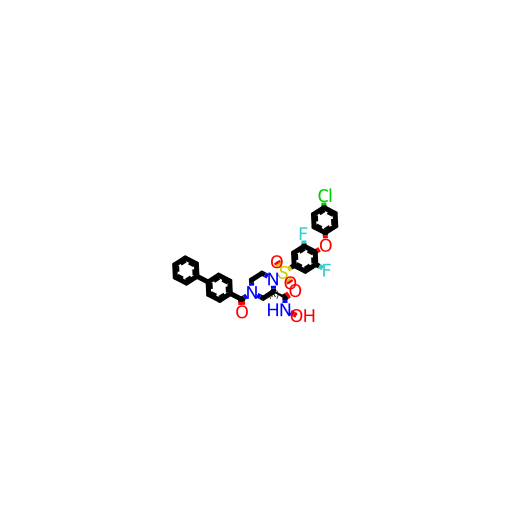 O=C(NO)[C@H]1CN(C(=O)c2ccc(-c3ccccc3)cc2)CCN1S(=O)(=O)c1cc(F)c(Oc2ccc(Cl)cc2)c(F)c1